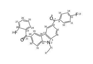 CCn1c2ccc(C(=O)c3ccc(F)cc3)cc2c2cc(C(=O)c3ccccc3F)ccc21